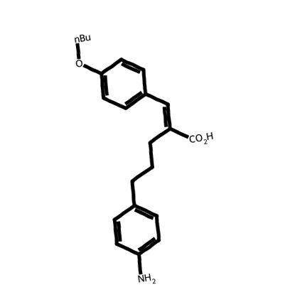 CCCCOc1ccc(C=C(CCCc2ccc(N)cc2)C(=O)O)cc1